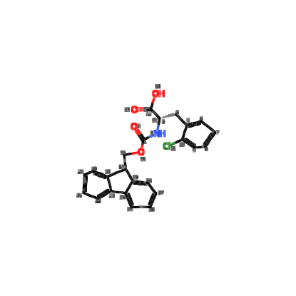 O=C(N[C@@H](Cc1ccccc1Cl)C(=O)O)OCC1c2ccccc2-c2ccccc21